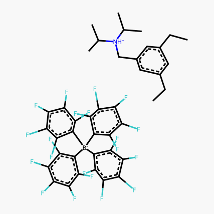 CCc1cc(CC)cc(C[NH+](C(C)C)C(C)C)c1.Fc1c(F)c(F)c([B-](c2c(F)c(F)c(F)c(F)c2F)(c2c(F)c(F)c(F)c(F)c2F)c2c(F)c(F)c(F)c(F)c2F)c(F)c1F